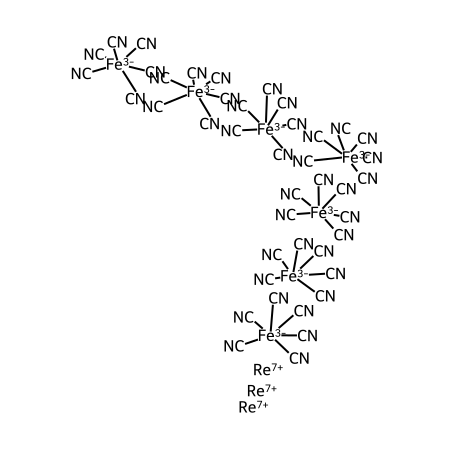 N#[C][Fe-3]([C]#N)([C]#N)([C]#N)([C]#N)[C]#N.N#[C][Fe-3]([C]#N)([C]#N)([C]#N)([C]#N)[C]#N.N#[C][Fe-3]([C]#N)([C]#N)([C]#N)([C]#N)[C]#N.N#[C][Fe-3]([C]#N)([C]#N)([C]#N)([C]#N)[C]#N.N#[C][Fe-3]([C]#N)([C]#N)([C]#N)([C]#N)[C]#N.N#[C][Fe-3]([C]#N)([C]#N)([C]#N)([C]#N)[C]#N.N#[C][Fe-3]([C]#N)([C]#N)([C]#N)([C]#N)[C]#N.[Re+7].[Re+7].[Re+7]